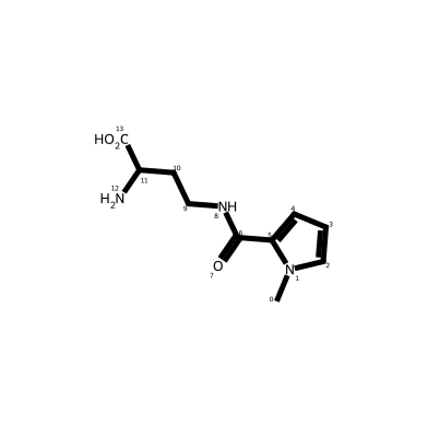 Cn1cccc1C(=O)NCCC(N)C(=O)O